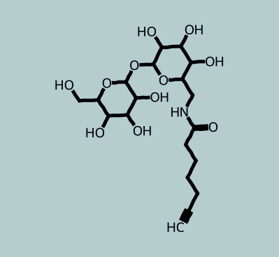 C#CCCCCC(=O)NCC1OC(OC2OC(CO)C(O)C(O)C2O)C(O)C(O)C1O